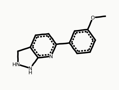 COc1cccc(-c2ccc3c(n2)NNC3)c1